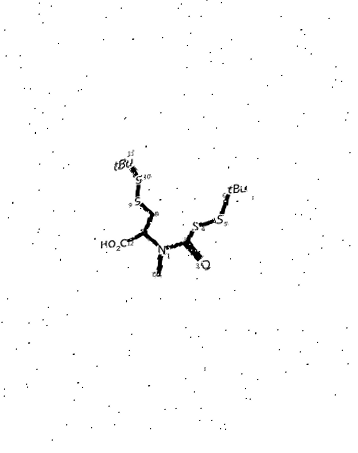 CN(C(=O)SSC(C)(C)C)C(CSSC(C)(C)C)C(=O)O